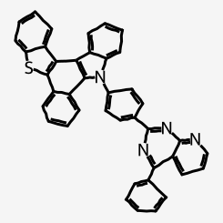 c1ccc(-c2nc(-c3ccc(-n4c5ccccc5c5c6c7ccccc7sc6c6ccccc6c54)cc3)nc3ncccc23)cc1